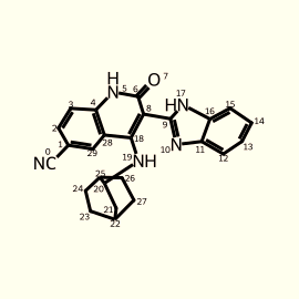 N#Cc1ccc2[nH]c(=O)c(-c3nc4ccccc4[nH]3)c(NC3CC4CCC3CC4)c2c1